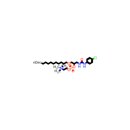 CCCCCCCCCCCCCCCCCCCCOCC(CNC(=O)Nc1ccc(Cl)cc1)OP(=O)([O-])OCC[N+](C)(C)C